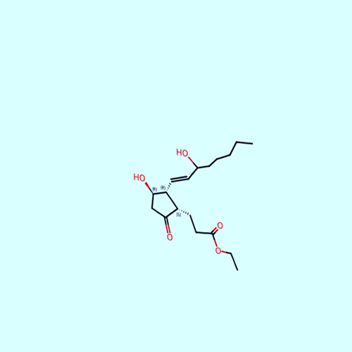 CCCCCC(O)C=C[C@H]1[C@H](O)CC(=O)[C@H]1CCC(=O)OCC